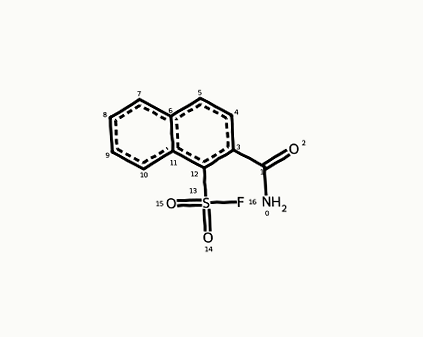 NC(=O)c1ccc2ccccc2c1S(=O)(=O)F